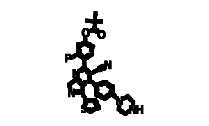 CC(C)(C)C(=O)Oc1ccc(-c2nc3c(c(-c4ccc(N5CCNCC5)cc4)c2C#N)C(c2cccs2)=NC3)c(F)c1